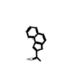 CCCCC(C)C1=Cc2c(ccc3ccccc23)[CH]1